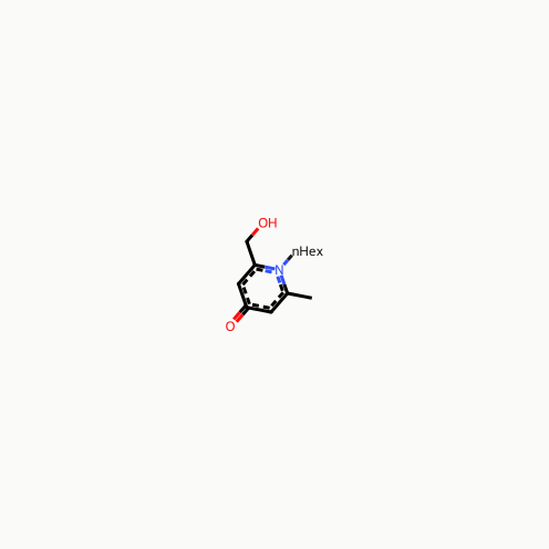 CCCCCCn1c(C)cc(=O)cc1CO